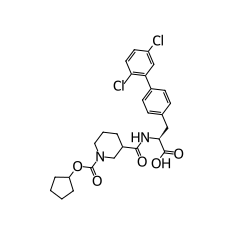 O=C(N[C@@H](Cc1ccc(-c2cc(Cl)ccc2Cl)cc1)C(=O)O)C1CCCN(C(=O)OC2CCCC2)C1